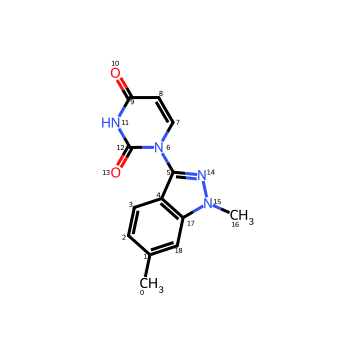 Cc1ccc2c(-n3ccc(=O)[nH]c3=O)nn(C)c2c1